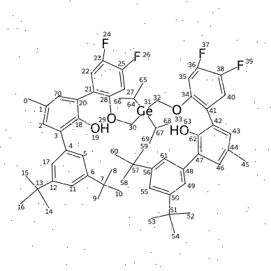 Cc1cc(-c2cc(C(C)(C)C)cc(C(C)(C)C)c2)c(O)c(-c2cc(F)c(F)cc2O[CH2][Ge]([CH2]Oc2cc(F)c(F)cc2-c2cc(C)cc(-c3cc(C(C)(C)C)cc(C(C)(C)C)c3)c2O)([CH](C)C)[CH](C)C)c1